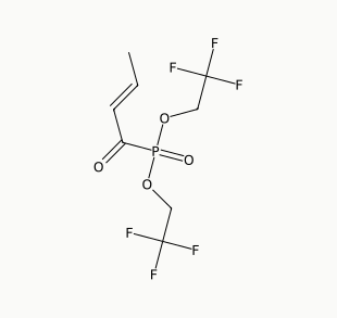 CC=CC(=O)P(=O)(OCC(F)(F)F)OCC(F)(F)F